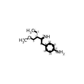 CC[C@@H](COC)C(=N)Cc1ccc(N)cc1